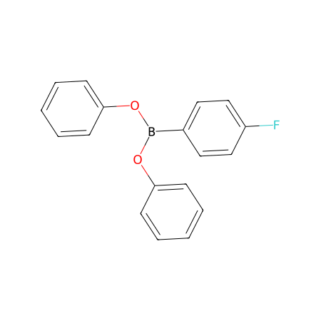 Fc1ccc(B(Oc2ccccc2)Oc2ccccc2)cc1